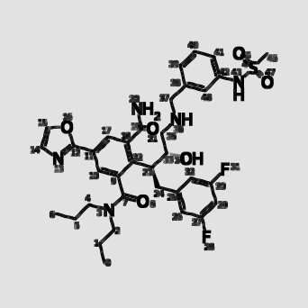 CCCN(CCC)C(=O)c1cc(-c2ncco2)cc(C(N)=O)c1[C@H](Cc1cc(F)cc(F)c1)[C@@H](O)CNCc1cccc(NS(C)(=O)=O)c1